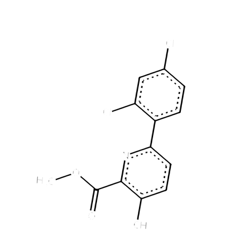 COC(=O)c1nc(-c2ccc(Cl)cc2Cl)ccc1C